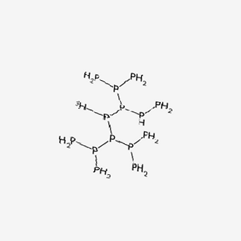 [3H]P(P(PP)P(P)P)P(P(P)P)P(P)P